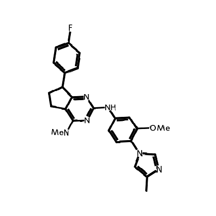 CNc1nc(Nc2ccc(-n3cnc(C)c3)c(OC)c2)nc2c1CCC2c1ccc(F)cc1